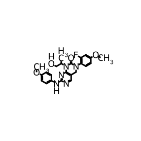 COc1ccc(Nc2ncc3c(n2)N(C(C)CO)C(=O)N(c2ccc(OC)cc2F)C3)cc1